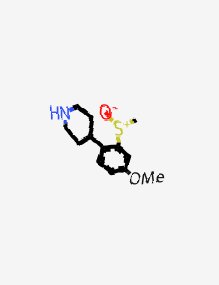 COc1ccc(C2CCNCC2)c([S+](C)[O-])c1